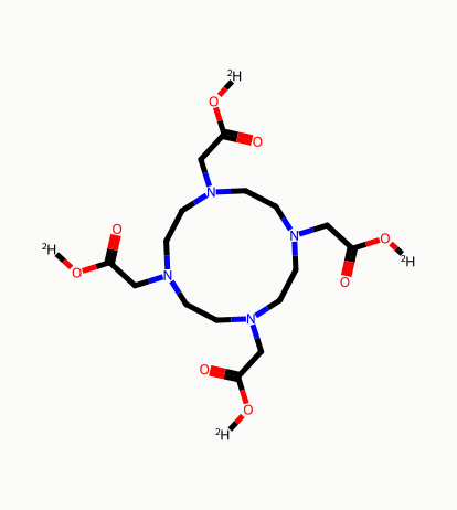 [2H]OC(=O)CN1CCN(CC(=O)O[2H])CCN(CC(=O)O[2H])CCN(CC(=O)O[2H])CC1